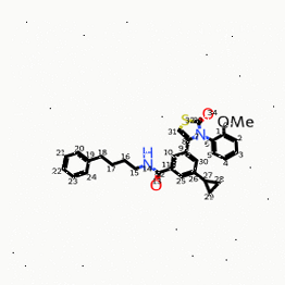 COc1ccccc1-n1c(-c2cc(C(=O)NCCCCc3ccccc3)cc(C3CC3)c2)csc1=O